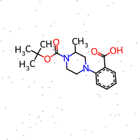 CC1CN(c2ccccc2C(=O)O)CCN1C(=O)OC(C)(C)C